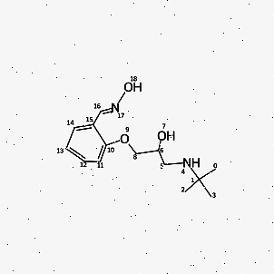 CC(C)(C)NCC(O)COc1ccccc1C=NO